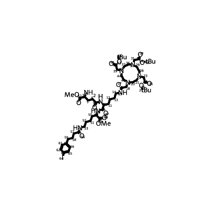 COC(=O)C(N)CCC(=O)NC(CCCCNC(=O)CN1CCN(CC(=O)OC(C)(C)C)CCN(CC(=O)OC(C)(C)C)CCN(CC(=O)OC(C)(C)C)CC1)C(=O)NC(CCCCNC(=O)CCCc1ccc(I)cc1)C(=O)OC